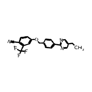 CCc1cnc(-c2ccc(COc3ccc(C#N)c(C(F)(F)F)c3)cc2)nc1